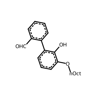 CCCCCCCCOc1cccc(-c2ccccc2C=O)c1O